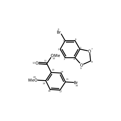 Brc1[c]cc2c(c1)OCO2.COC(=O)c1cc(Br)[c]cc1OC